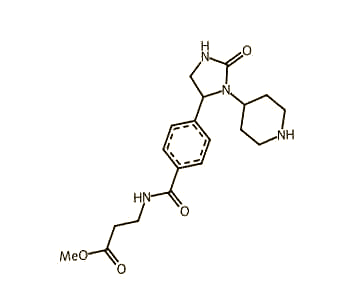 COC(=O)CCNC(=O)c1ccc(C2CNC(=O)N2C2CCNCC2)cc1